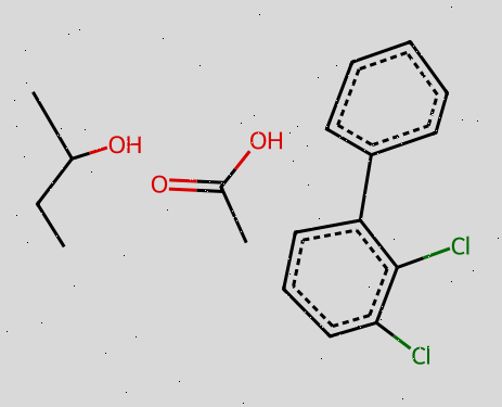 CC(=O)O.CCC(C)O.Clc1cccc(-c2ccccc2)c1Cl